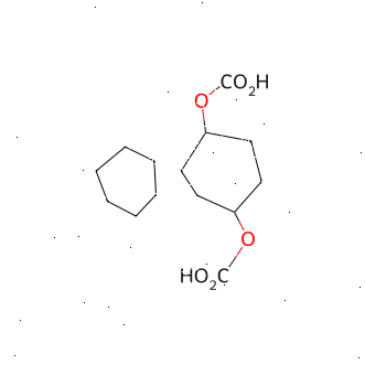 C1CCCCC1.O=C(O)OC1CCC(OC(=O)O)CC1